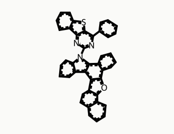 c1ccc(-c2nc(-n3c4ccccc4c4c5c6ccc7ccccc7c6oc5c5ccccc5c43)nc3c2sc2ccccc23)cc1